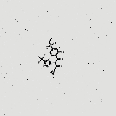 CCS(=O)(=O)c1ccc(C(=O)C(C(=O)C2CC2)c2nnc(C(F)(F)F)s2)c(Cl)c1